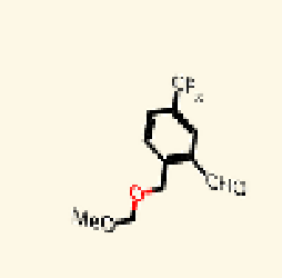 COCOCc1ccc(C(F)(F)F)cc1C=O